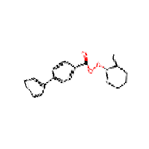 CC1CCCC[C]1OOC(=O)c1ccc(-c2ccccc2)cc1